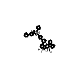 CC1(C)C2=CC3=C(CC2c2c(-c4cccc(-c5ccc(C6=NC(c7ccccc7)NC(c7ccc(C8=CC=CCC8)cc7)=N6)cc5)c4)cccc21)C1(CCCCC1)c1ccccc13